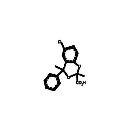 CC1(C(=O)O)Oc2ccc(Cl)cc2C(C)(c2ccccc2)O1